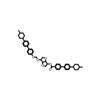 CC1CCC(c2ccc(-c3ccc(OCOC4COC5C(OC(=O)c6ccc(-c7ccc(C8CCC(C)CC8)cc7)cc6)COC45)cc3)cc2)CC1